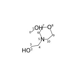 CO.OCCN1CCOCC1